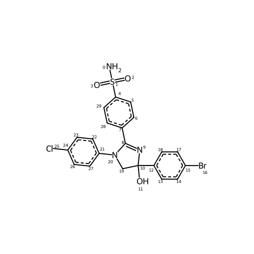 NS(=O)(=O)c1ccc(C2=NC(O)(c3ccc(Br)cc3)CN2c2ccc(Cl)cc2)cc1